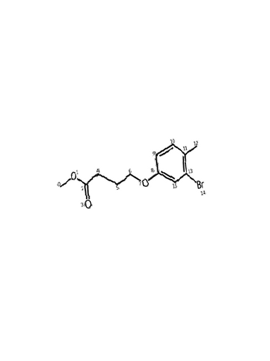 COC(=O)CCCOc1ccc(C)c(Br)c1